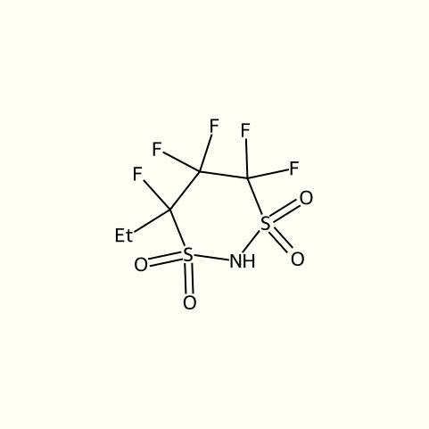 CCC1(F)C(F)(F)C(F)(F)S(=O)(=O)NS1(=O)=O